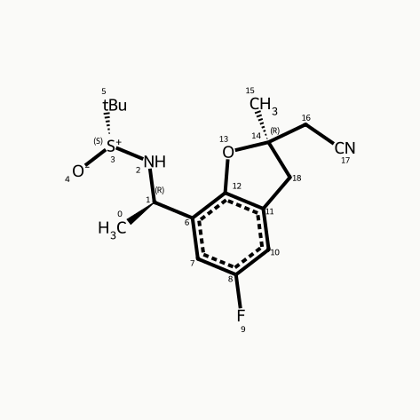 C[C@@H](N[S@+]([O-])C(C)(C)C)c1cc(F)cc2c1O[C@@](C)(CC#N)C2